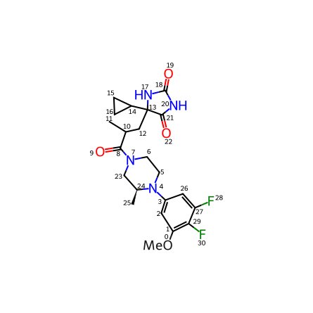 COc1cc(N2CCN(C(=O)C(C)CC3(C4CC4)NC(=O)NC3=O)C[C@@H]2C)cc(F)c1F